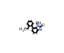 CCc1ccccc1-c1cccc2nc(Cl)n(C)c12